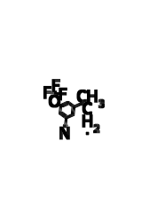 [CH2]C(C)c1cc(C#N)cc(OC(F)(F)F)c1